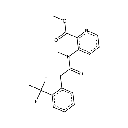 COC(=O)c1ncccc1N(C)C(=O)Cc1ccccc1C(F)(F)F